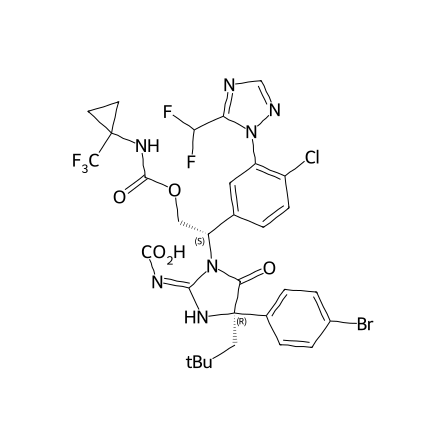 CC(C)(C)C[C@]1(c2ccc(Br)cc2)NC(=NC(=O)O)N([C@H](COC(=O)NC2(C(F)(F)F)CC2)c2ccc(Cl)c(-n3ncnc3C(F)F)c2)C1=O